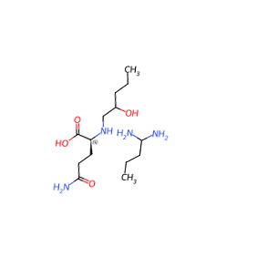 CCCC(N)N.CCCC(O)CN[C@@H](CCC(N)=O)C(=O)O